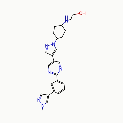 Cn1cc(-c2cccc(-c3ncc(-c4cnn(C5CCC(NCCO)CC5)c4)cn3)c2)cn1